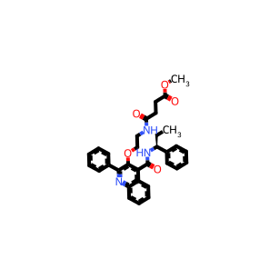 CC[C@H](NC(=O)c1c(OCCNC(=O)CCC(=O)OC)c(-c2ccccc2)nc2ccccc12)c1ccccc1